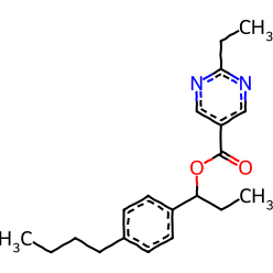 CCCCc1ccc(C(CC)OC(=O)c2cnc(CC)nc2)cc1